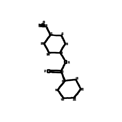 CCCCC1CCC(OC(=O)C2CC[CH]CC2)CC1